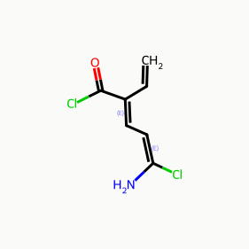 C=C/C(=C\C=C(/N)Cl)C(=O)Cl